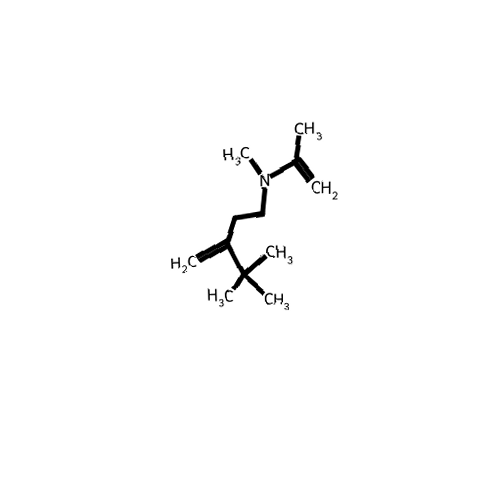 C=C(C)N(C)CCC(=C)C(C)(C)C